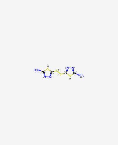 Nc1nnc(SSc2nnc(N)s2)s1